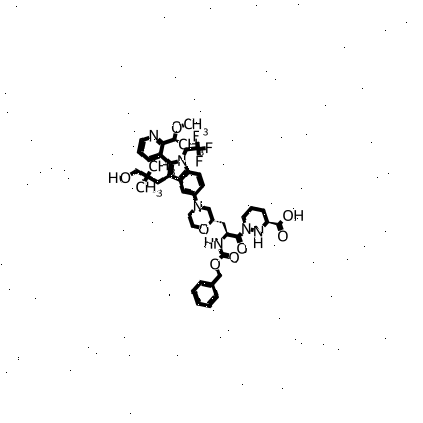 CO[C@@H](C)c1ncccc1-c1c(CC(C)(C)CO)c2cc(N3CCO[C@@H](C[C@H](NC(=O)OCc4ccccc4)C(=O)N4CCC[C@@H](C(=O)O)N4)C3)ccc2n1CC(F)(F)F